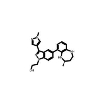 C[C@@H]1CCNc2cccc(-c3ccc4c(c3)c(-c3cnn(C)c3)nn4CCO)c2N1